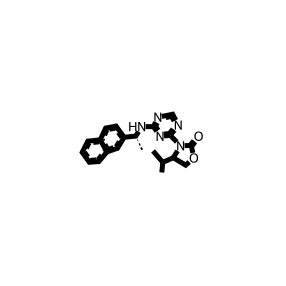 CC(C)C1COC(=O)N1c1ncnc(N[C@H](C)c2ccc3ccccc3c2)n1